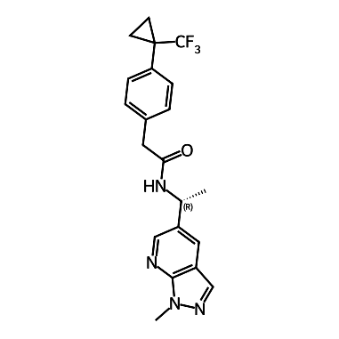 C[C@@H](NC(=O)Cc1ccc(C2(C(F)(F)F)CC2)cc1)c1cnc2c(cnn2C)c1